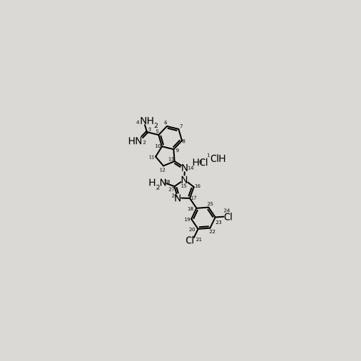 Cl.Cl.N=C(N)c1cccc2c1CCC2=Nn1cc(-c2cc(Cl)cc(Cl)c2)nc1N